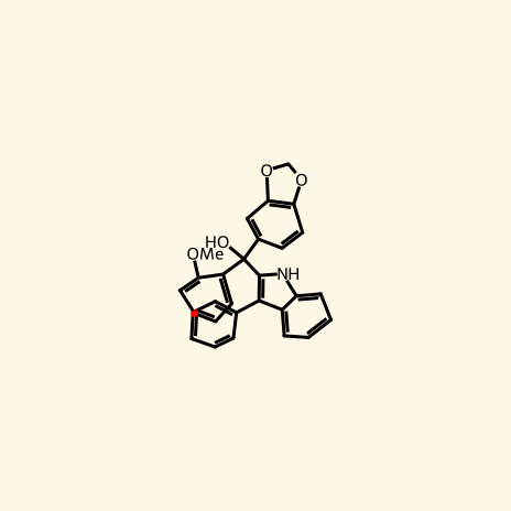 COc1ccccc1C(O)(c1ccc2c(c1)OCO2)c1[nH]c2ccccc2c1-c1ccccc1